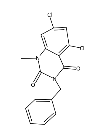 Cn1c(=O)n(Cc2ccccc2)c(=O)c2c(Cl)cc(Cl)cc21